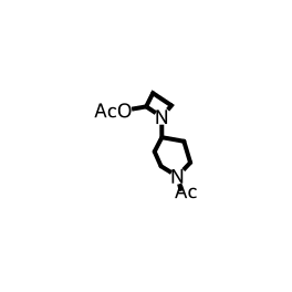 CC(=O)OC1CCN1C1CCN(C(C)=O)CC1